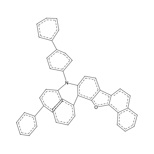 c1ccc(-c2ccc(N(c3ccc(-c4ccccc4)cc3)c3ccc4c(oc5c6ccccc6ccc45)c3-c3ccccc3)cc2)cc1